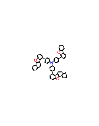 c1ccc2c(c1)ccc1c2oc2cccc(-c3ccc(N(c4ccc(-c5cccc6c5oc5ccccc56)cc4)c4ccc(-c5cccc6oc7c8ccccc8ccc7c56)cc4)cc3)c21